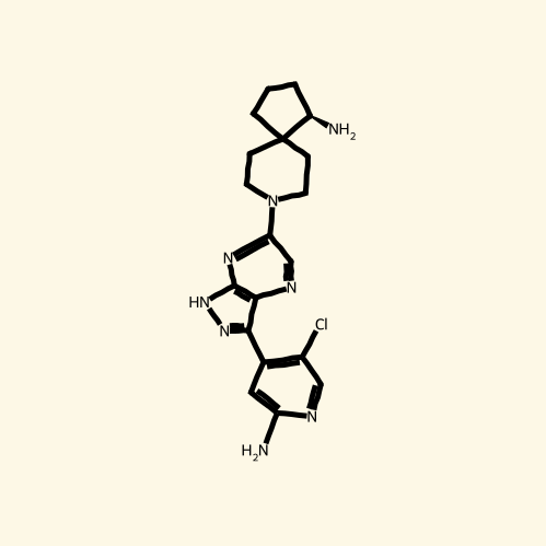 Nc1cc(-c2n[nH]c3nc(N4CCC5(CCC[C@H]5N)CC4)cnc23)c(Cl)cn1